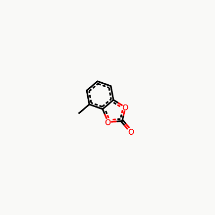 Cc1cccc2oc(=O)oc12